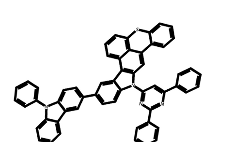 c1ccc(-c2cc(-n3c4ccc(-c5ccc6c(c5)c5ccccc5n6-c5ccccc5)cc4c4c5cccc6c5c(cc43)-c3ccccc3S6)nc(-c3ccccc3)n2)cc1